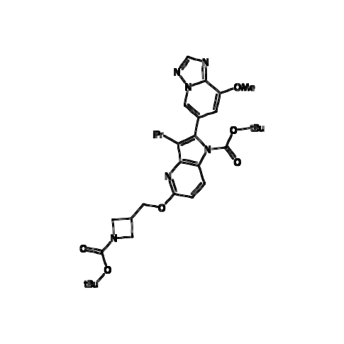 COc1cc(-c2c(C(C)C)c3nc(OCC4CN(C(=O)OC(C)(C)C)C4)ccc3n2C(=O)OC(C)(C)C)cn2ncnc12